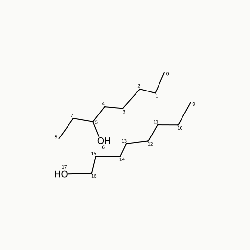 CCCCCC(O)CC.CCCCCCCCO